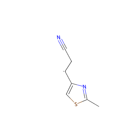 Cc1nc([CH]CC#N)cs1